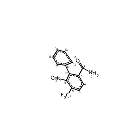 NC(=O)c1ccc(C(F)(F)F)c([N+](=O)[O-])c1-c1ccccc1